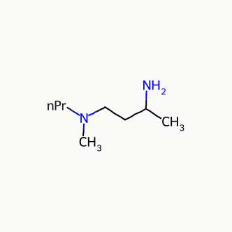 CCCN(C)CCC(C)N